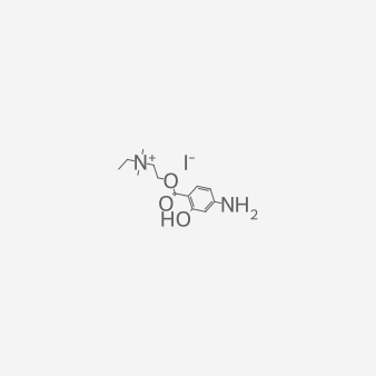 CC[N+](C)(C)CCOC(=O)c1ccc(N)cc1O.[I-]